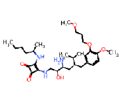 CCCCC(C)Nc1c(NC[C@H](O)[C@@H](N)C[C@H](Cc2ccc(OC)c(OCCCOC)c2)C(C)C)c(=O)c1=O